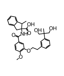 COc1ccc(C(=O)NC2(C(=O)O)Cc3ccccc3C2C)cc1OCCc1cccc(C(C)(CO)CO)c1